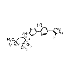 CC1(C)C[C@H](Nc2ccc(-c3ncc(-c4cn[nH]c4F)cc3O)nn2)[C@H](F)C(C)(C)N1